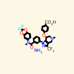 CN1Cc2c(C(F)(F)F)nn(-c3cccc(C(=O)N(C)c4ccc5c(c4)OC(F)(F)O5)c3)c2C(Oc2ccc(C(=O)O)cc2)C1.N